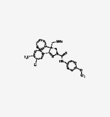 CSCC1(c2ccccc2)CN(C(=O)Nc2ccc(OC(F)(F)F)cc2)N=C1c1ccc(C(F)(F)F)c(Cl)c1